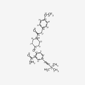 C[Si](C)(C)C#Cc1ccc(OC2CCN(C(=O)Cc3ccc(OC(F)(F)F)cc3)CC2)c(C(N)=O)c1